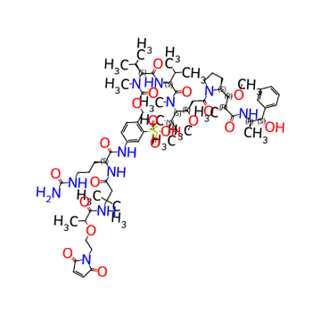 CC[C@H](C)[C@@H]([C@@H](CC(=O)N1CCC[C@H]1[C@H](OC)[C@@H](C)C(=O)N[C@H](C)[C@@H](O)c1ccccc1)OC)N(C)C(=O)[C@@H](NC(=O)[C@H](C(C)C)N(C)C(=O)OCc1ccc(NC(=O)[C@H](CCCNC(N)=O)NC(=O)CC(C)(C)NC(=O)C(C)OCCN2C(=O)C=CC2=O)cc1S(=O)(=O)O)C(C)C